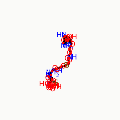 CCS(=S)COC1C[C@H](n2cc(C#CCNC(=O)OCCCCOCSSC(C)(C)CCOC(=O)NCCOCCOCCNC(=O)c3ccc(C(=O)O)c(-c4c5ccc(=N)cc-5oc5cc(N)ccc45)c3)c(N)nc2=O)O[C@@H]1COP(=O)(O)OP(=O)(O)OP(=O)(O)O